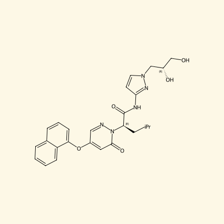 CC(C)C[C@H](C(=O)Nc1ccn(C[C@@H](O)CO)n1)n1ncc(Oc2cccc3ccccc23)cc1=O